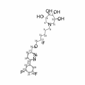 O[C@H]1[C@H](O)[C@@H](O)CN(CCCC[C@H](F)COCc2ccc(-c3cc(F)cc(F)c3)nn2)C[C@@H]1O